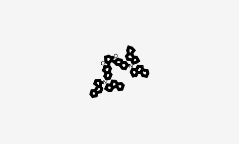 c1ccc2c(c1)ccc1c(N(c3ccc4cc5c(cc4c3)oc3ccc4oc6cc7cc(N(c8cccc9c8ccc8ccccc89)c8cccc9c8ccc8ccccc89)ccc7cc6c4c35)c3cccc4c3ccc3ccccc34)cccc12